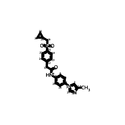 Cc1cn(-c2ccc(NC(=O)Cc3ccc(S(=O)(=O)CC4CC4)cc3)cc2)cn1